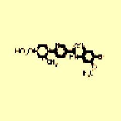 C[C@@H]1CN(C(=O)O)CCN1c1ccc(C(=O)Nc2cc(OC(F)(F)F)c(Br)cc2Cl)cn1